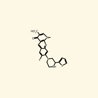 Cn1cc(C(=O)O)c(=O)c2cc3cc(F)c(N4CCNC(c5cccs5)C4)cc3nc21